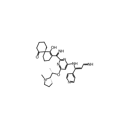 C[C@H](Oc1cc(N/C(=C\C=N)c2ccncc2)nc(C(=N)C2=C(O)[C@]3(CCCCC3=O)CCC2)n1)[C@@H]1CCCN1C